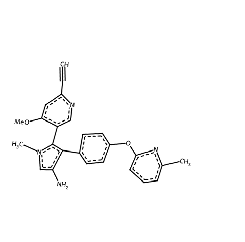 C#Cc1cc(OC)c(-c2c(-c3ccc(Oc4cccc(C)n4)cc3)c(N)cn2C)cn1